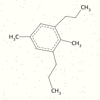 CCCc1[c]c(C)cc(CCC)c1C